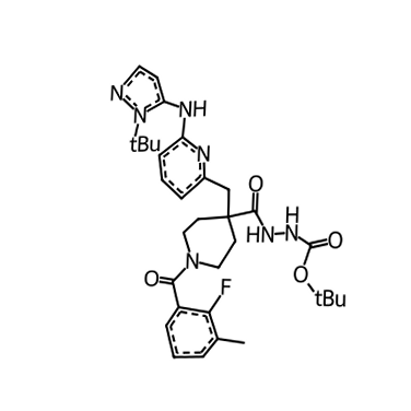 Cc1cccc(C(=O)N2CCC(Cc3cccc(Nc4ccnn4C(C)(C)C)n3)(C(=O)NNC(=O)OC(C)(C)C)CC2)c1F